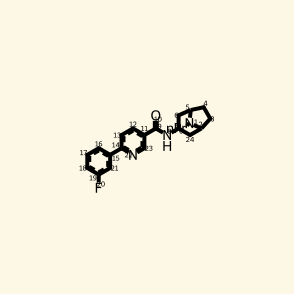 CCCN1C2CCC1CC(NC(=O)c1ccc(-c3cccc(F)c3)nc1)C2